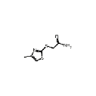 Cc1csc(SCC(N)=O)n1